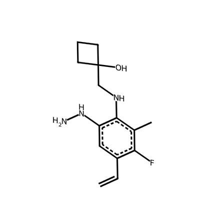 C=Cc1cc(NN)c(NCC2(O)CCC2)c(C)c1F